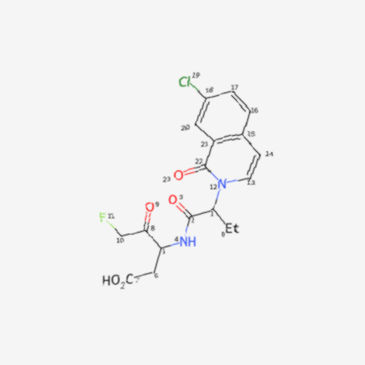 CCC(C(=O)NC(CC(=O)O)C(=O)CF)n1ccc2ccc(Cl)cc2c1=O